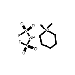 C[N+]1(C)CCCCC1.O=S(=O)(F)NS(=O)(=O)F